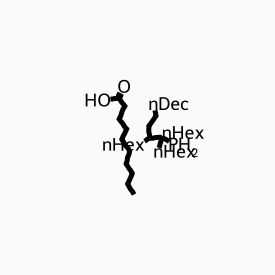 CCCCCCCCCC(=O)O.CCCCCCCCCCCCC(CCCCCC)C(P)(CCCCCC)CCCCCC